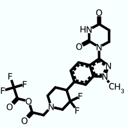 Cn1nc(N2CCC(=O)NC2=O)c2ccc(C3CCN(CC(=O)OC(=O)C(F)(F)F)CC3(F)F)cc21